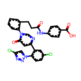 O=C(CCc1ccccc1-n1cnc(-c2cc(Cl)ccc2-n2cc(Cl)nn2)cc1=O)Nc1ccc(C(=O)O)cc1